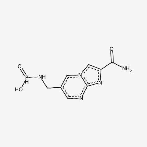 NC(=O)c1cn2cc(CN[PH](=O)O)cnc2n1